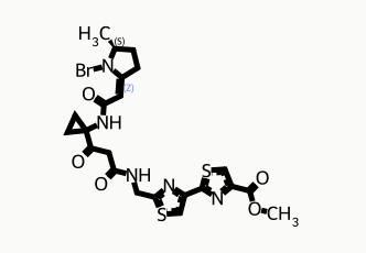 COC(=O)c1csc(-c2csc(CNC(=O)CC(=O)C3(NC(=O)/C=C4/CC[C@H](C)N4Br)CC3)n2)n1